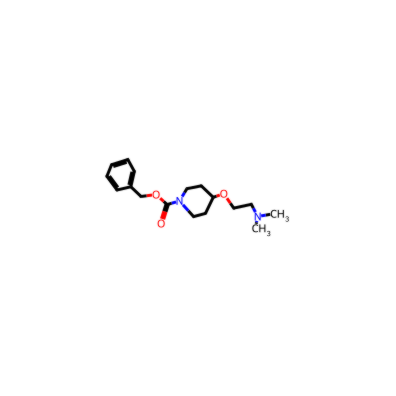 CN(C)CCOC1CCN(C(=O)OCc2ccccc2)CC1